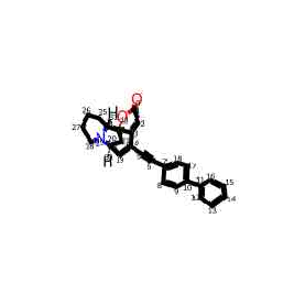 O=C1C=C2C(C#Cc3ccc(-c4ccccc4)cc3)=C[C@@H]3C[C@@]2(O1)[C@H]1CCCCN31